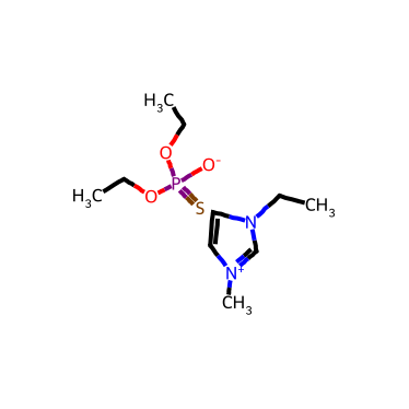 CCOP([O-])(=S)OCC.CCn1cc[n+](C)c1